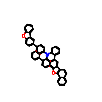 c1ccc(-c2ccccc2N(c2ccc(-c3ccc4oc5ccccc5c4c3)cc2)c2ccccc2-c2ccc3oc4c5ccccc5ccc4c3c2)cc1